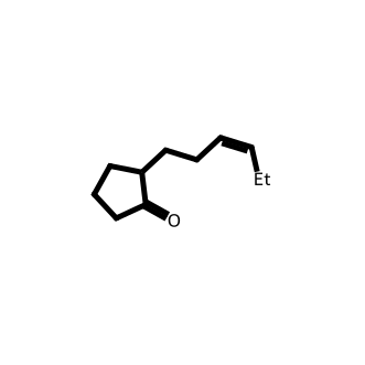 CC/C=C\CCC1CCCC1=O